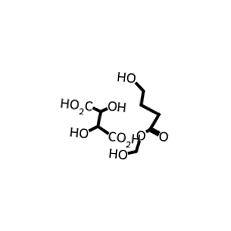 O=C(CCCO)OCO.O=C(O)C(O)C(O)C(=O)O